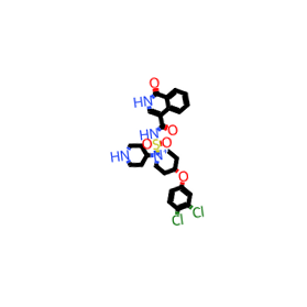 O=C(NS(=O)(=O)[N+]1(C2CCNCC2)CCC(Oc2ccc(Cl)c(Cl)c2)CC1)c1c[nH]c(=O)c2ccccc12